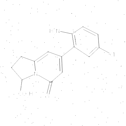 Nc1ccc(Cl)cc1-c1cc2n(c(=O)c1)C(C(=O)O)CC2